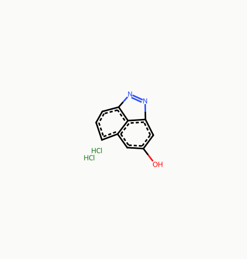 Cl.Cl.Oc1cc2c3c(cccc3c1)N=N2